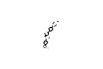 Cc1nc(-c2ccc(N3CCN(CC(C)C)CC3)cc2)cc2c1nc(-c1ccc(S(C)(=O)=O)cc1)n2C